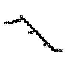 CCCCCCC=CCOC(=O)CCCCCCCC(O)CCCCCCCC(=O)OCC=CCCCCCC